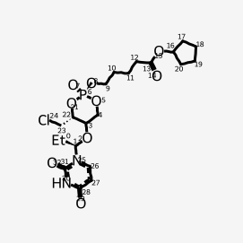 CC[C@@H](OC1CO[P@](=O)(OCCCCC(=O)OC2CCCC2)O[C@H]1CCl)n1ccc(=O)[nH]c1=O